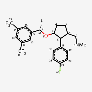 CNCC1CCC(O[C@@H](C)c2cc(C(F)(F)F)cc(C(F)(F)F)c2)C1c1ccc(F)cc1